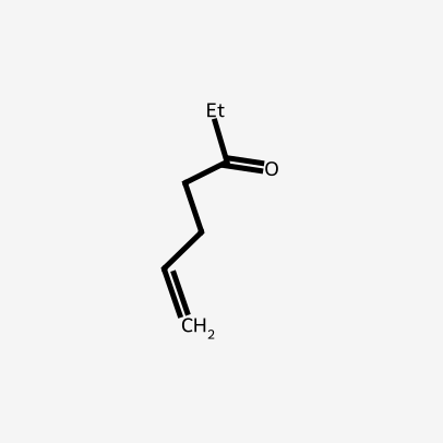 C=CCCC(=O)CC